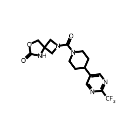 O=C1NC2(CO1)CN(C(=O)N1CCC(c3cnc(C(F)(F)F)nc3)CC1)C2